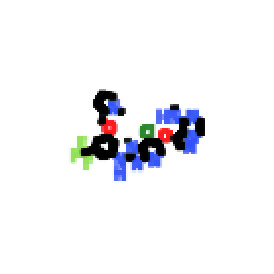 CNc1nccn2ncc(Oc3cnc4nc(Nc5cc(OC[C@H]6CCCN6C)cc(C(F)(F)F)c5)n(C)c4c3Cl)c12